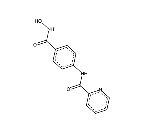 O=C(NO)c1ccc(NC(=O)c2ccccn2)cc1